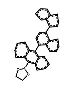 c1ccc2c(-c3ccc(-c4c5ccccc5c(B5OCCO5)c5ccccc45)c4ccccc34)cccc2c1